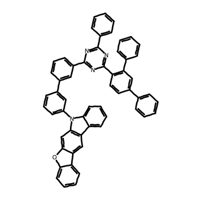 c1ccc(-c2ccc(-c3nc(-c4ccccc4)nc(-c4cccc(-c5cccc(-n6c7ccccc7c7cc8c(cc76)oc6ccccc68)c5)c4)n3)c(-c3ccccc3)c2)cc1